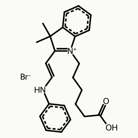 CC1(C)C(C=CNc2ccccc2)=[N+](CCCCCC(=O)O)c2ccccc21.[Br-]